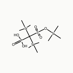 C[Si](C)(C)OS(=O)(=O)C([Si](C)(C)C)([Si](C)(C)C)P(=O)(O)O